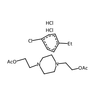 CC(=O)OCCN1CCN(CCOC(C)=O)CC1.CCc1ccc(Cl)cc1.Cl.Cl